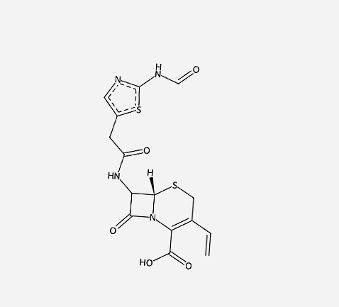 C=CC1=C(C(=O)O)N2C(=O)C(NC(=O)Cc3cnc(NC=O)s3)[C@@H]2SC1